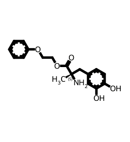 C[C@](N)(Cc1ccc(O)c(O)c1)C(=O)OCCOc1ccccc1